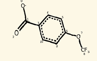 [O]C(=O)c1ccc(OC(F)(F)F)cc1